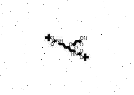 CC(C)(C)OC(=O)NCCCC(CCNC(=O)OC(C)(C)C)OC(=O)CC(=O)O